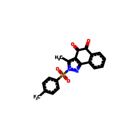 Cc1c2c(nn1S(=O)(=O)c1ccc(C(F)(F)F)cc1)-c1ccccc1C(=O)C2=O